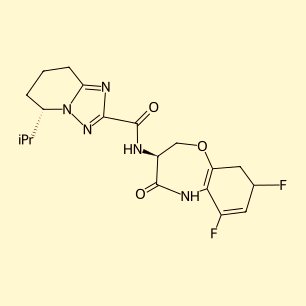 CC(C)[C@@H]1CCCc2nc(C(=O)N[C@H]3COC4=C(NC3=O)C(F)=CC(F)C4)nn21